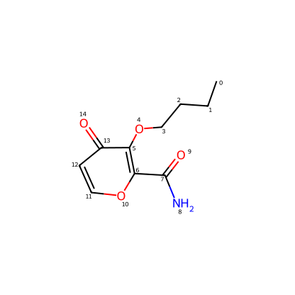 CCCCOc1c(C(N)=O)occc1=O